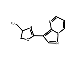 CC(C)(C)C1COC(c2cnn3cccnc23)=N1